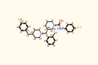 O=C(Nc1ccc(F)cc1)N1CCC[C@H](CN2CCC(Cc3ccc(F)cc3)CC2)[C@H]1Cc1ccccc1